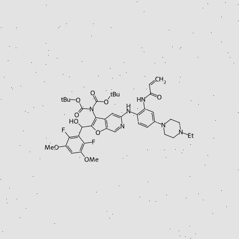 C=CC(=O)Nc1cc(N2CCN(CC)CC2)ccc1Nc1cc2c(N(C(=O)OC(C)(C)C)C(=O)OC(C)(C)C)c(C(O)c3c(F)c(OC)cc(OC)c3F)oc2cn1